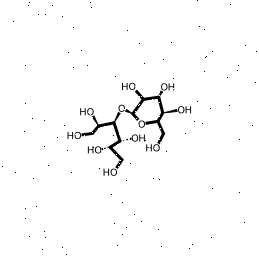 OCC1O[C@@H](O[C@@H]([C@H](O)[C@@H](O)CO)[C@H](O)CO)C(O)[C@@H](O)[C@H]1O